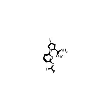 Cl.NC(=O)[C@@H]1C[C@@H](F)CN1c1cccc(OC(F)F)n1